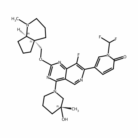 CN1CCC[C@@]2(COc3nc(N4CCC[C@@](C)(O)C4)c4cnc(-c5ccc(=O)n(C(F)F)c5)c(F)c4n3)CCC[C@@H]12